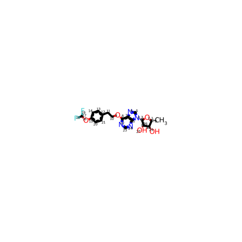 C[C@H]1O[C@@H](n2cnc3c(OCCc4ccc(OC(F)F)cc4)ncnc32)[C@H](O)[C@@H]1O